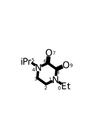 CCN1CCN(C(C)C)C(=O)C1=O